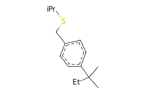 CCC(C)(C)c1ccc(CSC(C)C)cc1